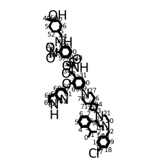 CC(C)c1ccccc1[C@@H]1CN(Cc2ccc(Cl)cc2)CCN1C1CC2(CCN(c3ccc(C(=O)NS(=O)(=O)c4ccc(NCC5CCC(C)(O)CC5)c([N+](=O)[O-])c4)c(Oc4cnc5[nH]ccc5c4)c3)CC2)C1